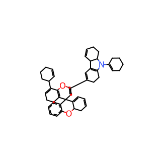 C1=CCC2Oc3ccccc3C3(C2=C1)C1=C(C=C(C2=CC4=C(CC2)N(C2=CCCCC2)C2CCC=CC42)CC1)OC1=C3CCC=C1C1C=CCCC1